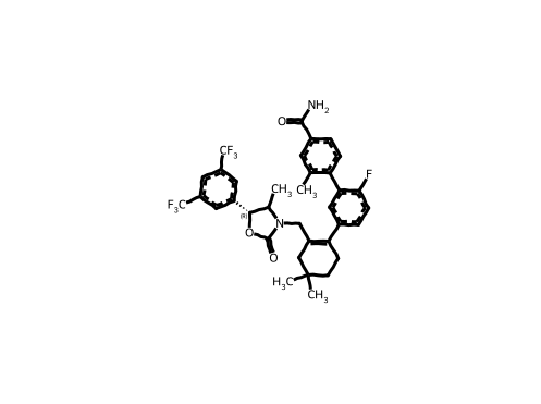 Cc1cc(C(N)=O)ccc1-c1cc(C2=C(CN3C(=O)O[C@H](c4cc(C(F)(F)F)cc(C(F)(F)F)c4)C3C)CC(C)(C)CC2)ccc1F